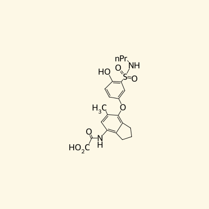 CCCNS(=O)(=O)c1cc(Oc2c(C)cc(NC(=O)C(=O)O)c3c2CCC3)ccc1O